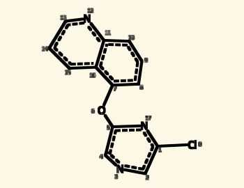 Clc1cncc(Oc2cccc3ncccc23)n1